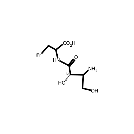 CC(C)CC(NC(=O)[C@@H](O)C(N)CO)C(=O)O